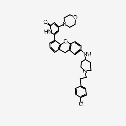 O=c1cc(N2CCOCC2)cc(-c2cccc3c2Oc2ccc(NC4CCN(CCc5ccc(Cl)cc5)CC4)cc2C3)[nH]1